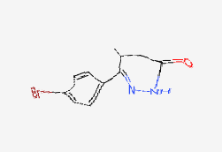 CC1CC(=O)NN=C1c1ccc(Br)cc1